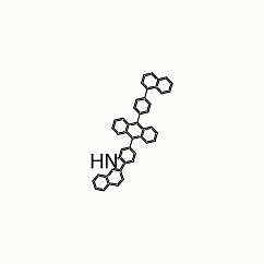 c1ccc2c(-c3ccc(-c4c5ccccc5c(-c5ccc6c(c5)[nH]c5c7ccccc7ccc65)c5ccccc45)cc3)cccc2c1